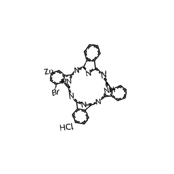 Brc1cccc2c3nc4nc(nc5[nH]c(nc6nc(nc([nH]3)c12)-c1ccccc1-6)c1ccccc51)-c1ccccc1-4.Cl.[Zn]